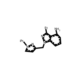 CCc1nn(Cc2ccn(C(C)C)n2)c2cccc(N)c12